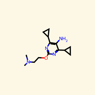 CN(C)CCOc1nc(C2CC2)c(N)c(C2CC2)n1